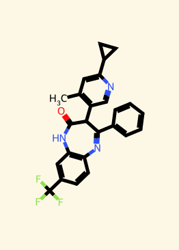 Cc1cc(C2CC2)ncc1C1C(=O)Nc2cc(C(F)(F)F)ccc2N=C1c1ccccc1